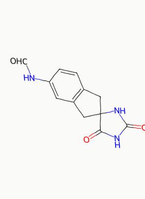 O=CNc1ccc2c(c1)CC1(C2)NC(=O)NC1=O